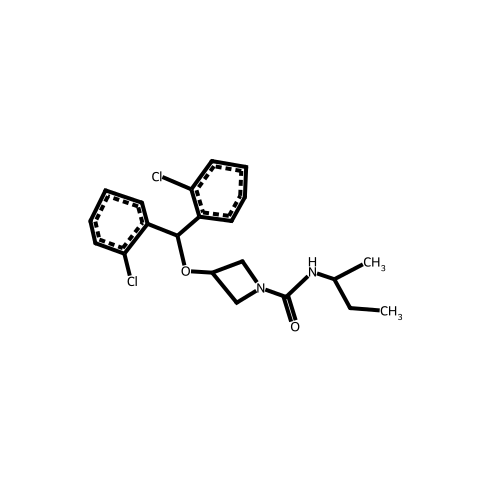 CCC(C)NC(=O)N1CC(OC(c2ccccc2Cl)c2ccccc2Cl)C1